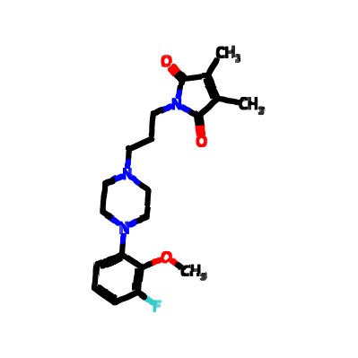 COc1c(F)cccc1N1CCN(CCCN2C(=O)C(C)=C(C)C2=O)CC1